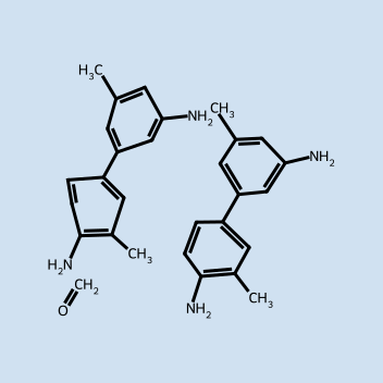 C=O.Cc1cc(N)cc(-c2ccc(N)c(C)c2)c1.Cc1cc(N)cc(-c2ccc(N)c(C)c2)c1